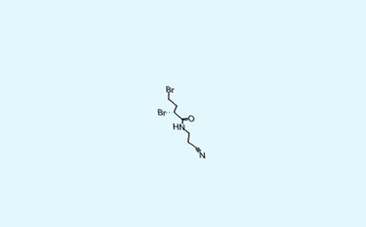 N#CCCNC(=O)[C@H](Br)CCBr